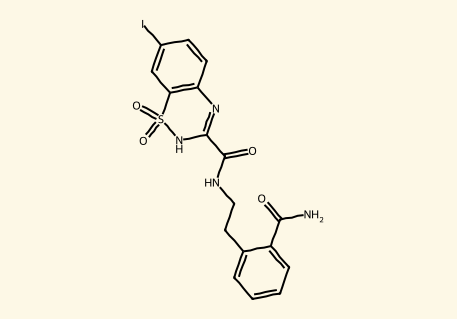 NC(=O)c1ccccc1CCNC(=O)C1=Nc2ccc(I)cc2S(=O)(=O)N1